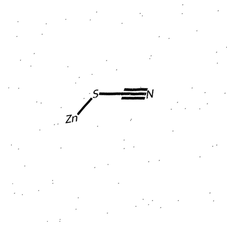 N#C[S][Zn]